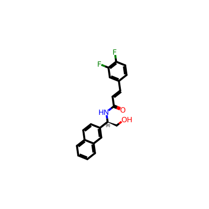 O=C(C=Cc1ccc(F)c(F)c1)N[C@@H](CO)c1ccc2ccccc2c1